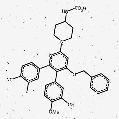 COc1ccc(-c2c(OCc3ccccc3)cc(N3CCC(NC(=O)O)CC3)nc2-c2ccc(C#N)c(F)c2)cc1O